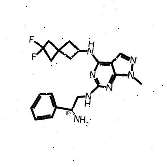 Cn1ncc2c(NC3CC4(C3)CC(F)(F)C4)nc(NC[C@H](N)c3ccccc3)nc21